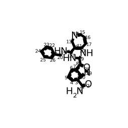 NC(=O)c1cccc2c(C3NC4=C(CN=CC=C4)C(NCc4ccccc4)N3)onc12